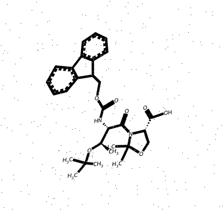 C[C@@H](OC(C)(C)C)[C@H](NC(=O)OCC1c2ccccc2-c2ccccc21)C(=O)N1[C@H](C(=O)O)COC1(C)C